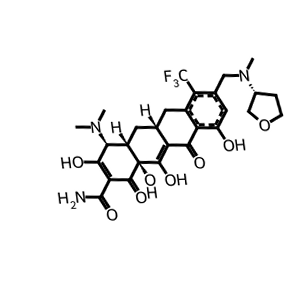 CN(C)[C@@H]1C(O)=C(C(N)=O)C(=O)[C@@]2(O)C(O)=C3C(=O)c4c(O)cc(CN(C)[C@@H]5CCOC5)c(C(F)(F)F)c4C[C@H]3C[C@@H]12